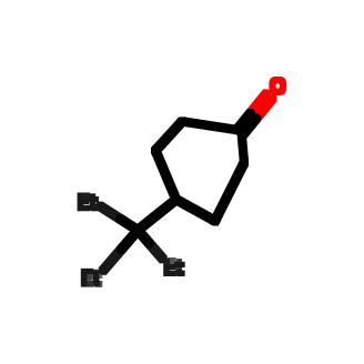 CCC(CC)(CC)C1CCC(=O)CC1